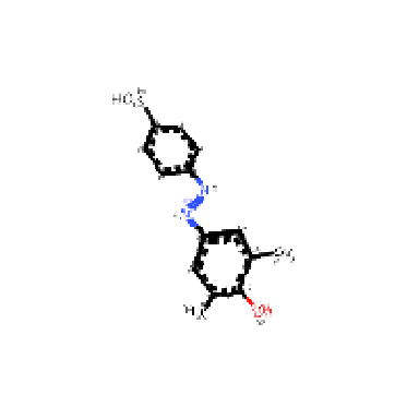 Cc1cc(/N=N/c2ccc(S(=O)(=O)O)cc2)cc(C)c1O